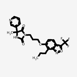 CCCc1c(OCCCN2C(=O)NC(C)(c3cccnc3)C2=O)ccc2c(C(F)(F)F)onc12